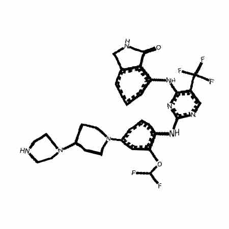 O=C1NCc2cccc(Nc3nc(Nc4ccc(N5CCC(N6CCNCC6)CC5)cc4OC(F)F)ncc3C(F)(F)F)c21